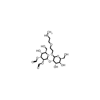 CNCCOCCOC1O[C@@H](CO)[C@@H](O)[C@H](O)[C@@H]1O[C@H]1O[C@H](CO)[C@@H](O)[C@@H](OC=O)[C@@H]1OC=O